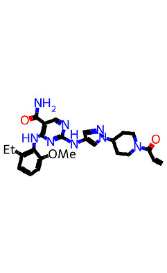 C=CC(=O)N1CCC(n2cc(Nc3ncc(C(N)=O)c(Nc4c(CC)cccc4OC)n3)cn2)CC1